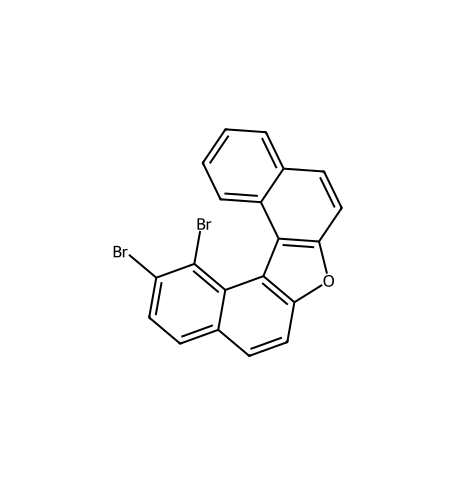 Brc1ccc2ccc3oc4ccc5ccccc5c4c3c2c1Br